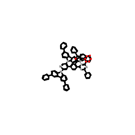 c1ccc(-c2ccc3c(c2)c2cc(-c4ccccc4)ccc2n3-c2cc(-c3ccc(-c4nc(-c5ccccc5)nc(-c5ccccc5)n4)c(-c4nc(-c5ccccc5)nc(-c5ccccc5)n4)c3)c(-n3c4ccc(-c5ccccc5)cc4c4cc(-c5ccccc5)ccc43)cn2)cc1